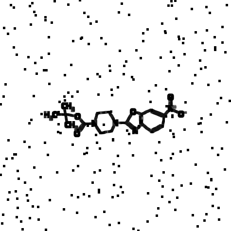 CC(C)(C)OC(=O)N1CCN(c2nc3ccc([N+](=O)[O-])cc3o2)CC1